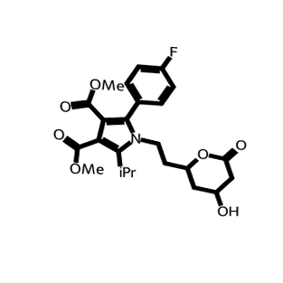 COC(=O)c1c(C(=O)OC)c(C(C)C)n(CCC2CC(O)CC(=O)O2)c1-c1ccc(F)cc1